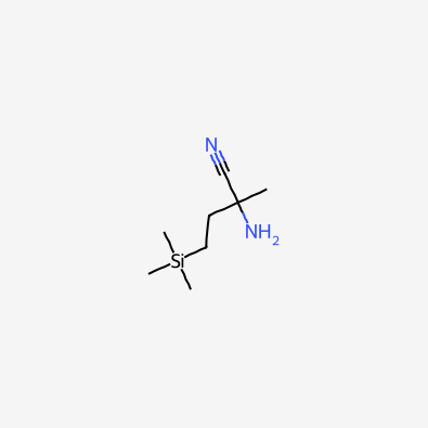 CC(N)(C#N)CC[Si](C)(C)C